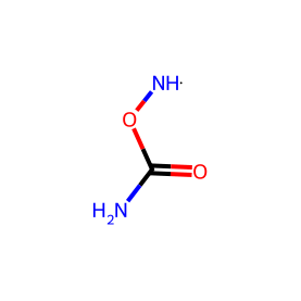 [NH]OC(N)=O